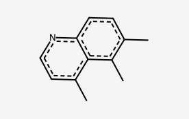 Cc1ccc2nccc(C)c2c1C